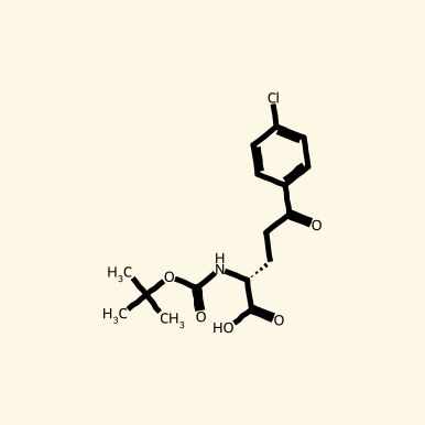 CC(C)(C)OC(=O)N[C@H](CCC(=O)c1ccc(Cl)cc1)C(=O)O